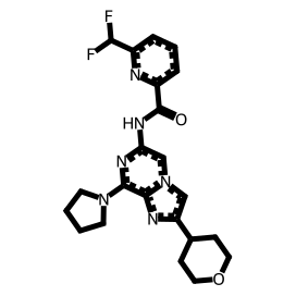 O=C(Nc1cn2cc(C3CCOCC3)nc2c(N2CCCC2)n1)c1cccc(C(F)F)n1